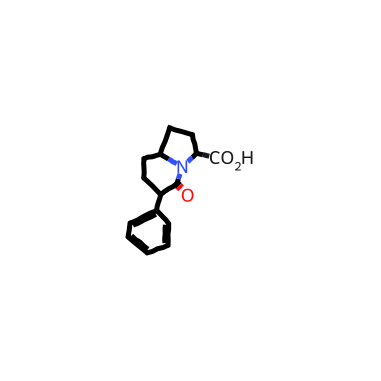 O=C(O)C1CCC2CCC(c3ccccc3)C(=O)N21